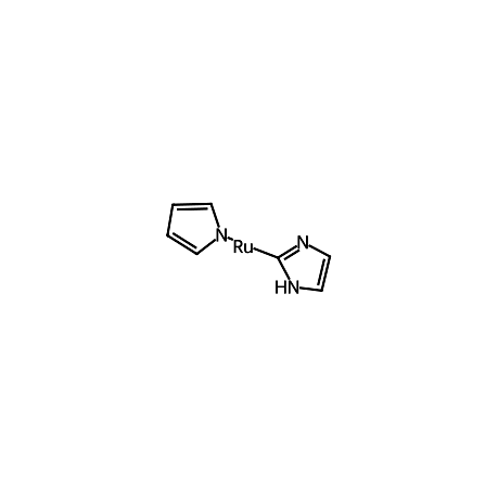 c1cc[n]([Ru][c]2ncc[nH]2)c1